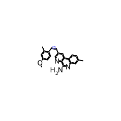 COc1ccc(/C=C\c2cnc3c(N)nc4cc(C)ccc4c3c2)c(C)c1